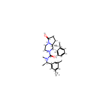 Cc1cc([C@@H](C)N(C)C(=O)N2CCN3C(=O)CC[C@H]3[C@@H]2c2ccccc2C)cc(C(F)(F)F)c1